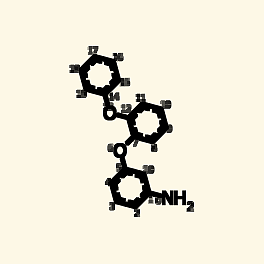 Nc1cccc(Oc2ccccc2Oc2ccccc2)c1